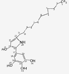 CCCCCCCCCCCCc1cc(O)c(-c2cc(O)c(O)c(O)c2)[nH]1